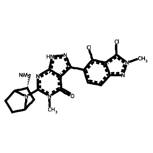 CN[C@@H]1CC2CCC1N2c1nc2[nH]nc(-c3ccc4nn(C)c(Cl)c4c3Cl)c2c(=O)n1C